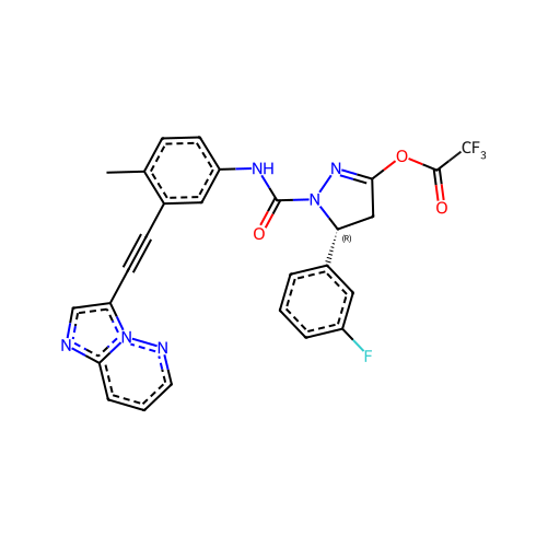 Cc1ccc(NC(=O)N2N=C(OC(=O)C(F)(F)F)C[C@@H]2c2cccc(F)c2)cc1C#Cc1cnc2cccnn12